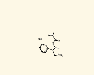 C=C(C)C(=O)OC(C)C(CN)c1ccccc1.Cl